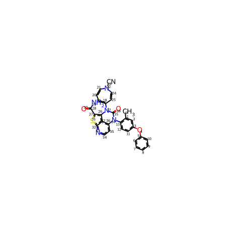 Cc1cc(Oc2ccccc2)ccc1N1C(=O)N(C2=CC=CN(C#N)C=C2)c2c(C(N)=O)sc3nccc1c23